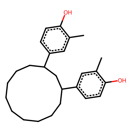 Cc1cc(C2CCCCCCCCCC(c3ccc(O)c(C)c3)C2)ccc1O